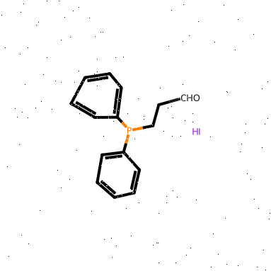 I.O=CCCP(c1ccccc1)c1ccccc1